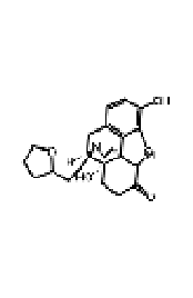 O=C1CC[C@@]2(O)[C@H]3Cc4ccc(O)c5c4[C@@]2(CCN3C[C@H]2CCCO2)[C@H]1O5